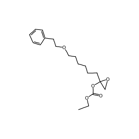 CCOC(=O)OC1(CCCCCCOCCc2ccccc2)CO1